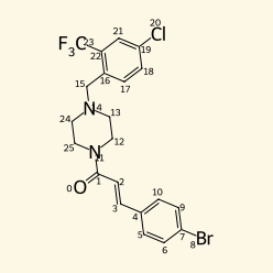 O=C(C=Cc1ccc(Br)cc1)N1CCN(Cc2ccc(Cl)cc2C(F)(F)F)CC1